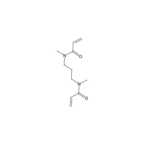 C=CC(=O)N(C)CCCN(C)C(=O)C=C